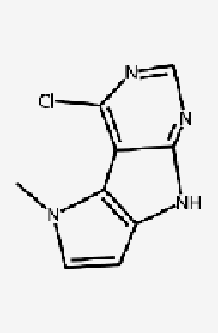 Cn1ccc2[nH]c3ncnc(Cl)c3c21